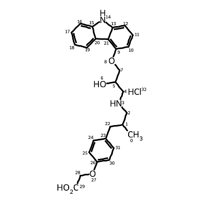 CC(CNCC(O)COc1cccc2[nH]c3ccccc3c12)Cc1ccc(OCC(=O)O)cc1.Cl